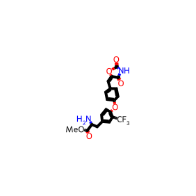 COC(=O)C(N)Cc1ccc(Oc2ccc(/C=C3/OC(=O)NC3=O)cc2)c(C(F)(F)F)c1